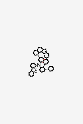 c1ccc(-c2cccc(N(c3cccc(-c4cccc5ccc6sc7ccccc7c6c45)c3)c3cccc4c3sc3ccccc34)c2-c2ccccc2)cc1